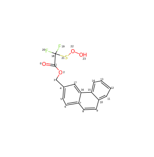 O=C(OCc1ccc2ccc3ccccc3c2c1)C(F)(F)SOO